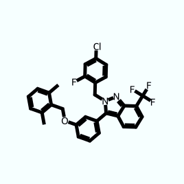 Cc1cccc(C)c1COc1cccc(-c2c3cccc(C(F)(F)F)c3nn2Cc2ccc(Cl)cc2F)c1